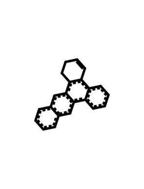 C1=Cc2c(c3cc4ccccc4cc3c3ccccc23)CC1